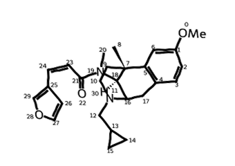 COc1ccc2c(c1)[C@@]1(C)CCN(CC3CC3)C(C2)[C@H]1N(C)C(=O)/C=C\c1ccoc1